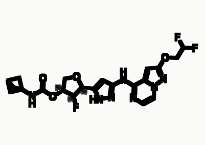 O=C(NC12CC(C1)C2)O[C@H]1CO[C@@H](c2cc(Nc3nccn4nc(OCC(F)F)cc34)n[nH]2)[C@H]1F